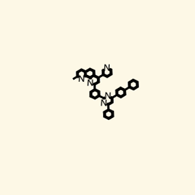 Cc1ccc2ccc3c(-c4cccnc4)cc(-c4cccc(-c5nc(-c6ccccc6)cc(-c6ccc(-c7ccccc7)cc6)n5)c4)nc3c2n1